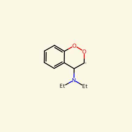 CCN(CC)C1[C]OOc2ccccc21